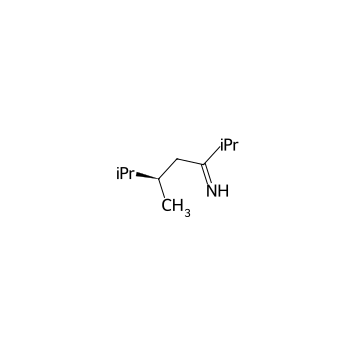 CC(C)C(=N)C[C@@H](C)C(C)C